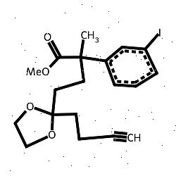 C#CCCC1(CCC(C)(C(=O)OC)c2cccc(I)c2)OCCO1